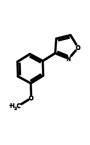 [CH2]Oc1cccc(-c2ccon2)c1